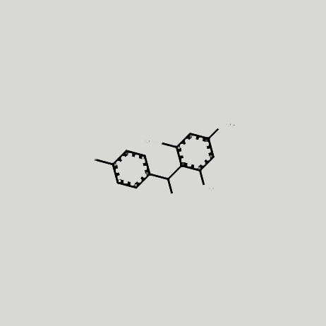 [CH2]C(c1ccc(Cl)cc1)c1c(OC)cc(OC)cc1OC